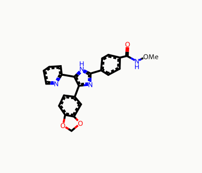 CONC(=O)c1ccc(-c2nc(-c3ccc4c(c3)OCO4)c(-c3ccccn3)[nH]2)cc1